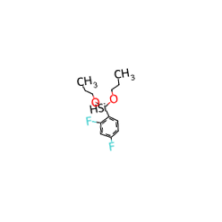 CCCO[SiH](OCCC)c1ccc(F)cc1F